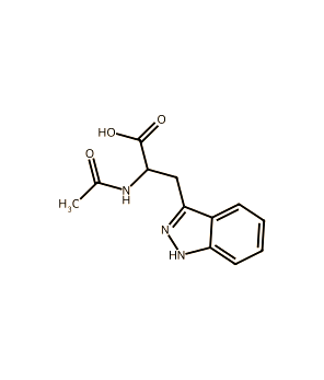 CC(=O)NC(Cc1n[nH]c2ccccc12)C(=O)O